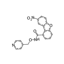 O=C(NOCc1ccncc1)c1cccc2oc3ccc([N+](=O)[O-])cc3c12